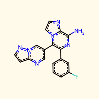 Nc1nc(-c2cccc(F)c2)c(-c2cnc3ccnn3c2)n2ccnc12